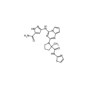 CC1(C(=O)Nc2nccs2)CCCN1c1nc(Nc2cc(C(N)=O)[nH]n2)n2cccc2n1